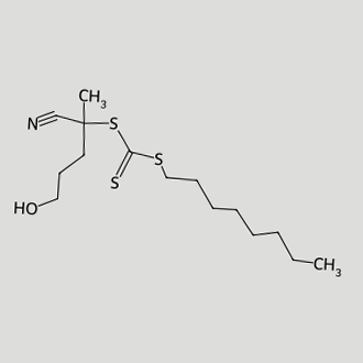 CCCCCCCCSC(=S)SC(C)(C#N)CCCO